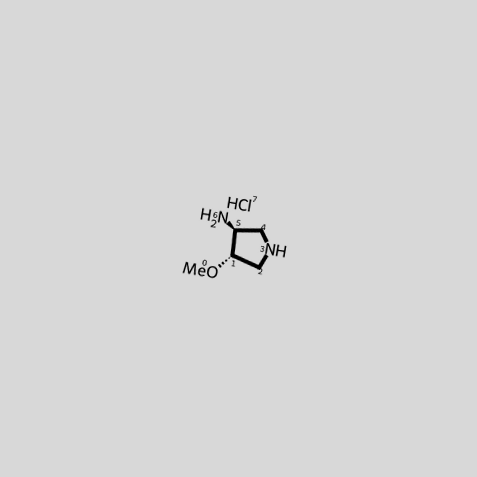 CO[C@H]1CNC[C@@H]1N.Cl